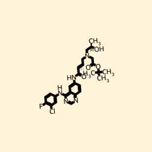 C[C@@H](O)CN(C/C=C/C(=O)Nc1ccc2ncnc(Nc3ccc(F)c(Cl)c3)c2c1)CC(=O)OC(C)(C)C